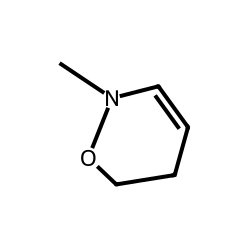 CN1C=CCCO1